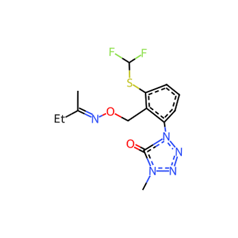 CCC(C)=NOCc1c(SC(F)F)cccc1-n1nnn(C)c1=O